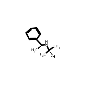 [2H][C@@](C)(N[C@@H](C)c1ccccc1)C(F)(F)F